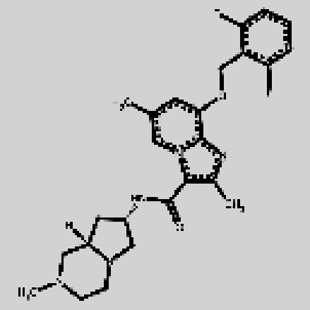 Cc1cc(OCc2c(F)cccc2F)c2nc(C)c(C(=O)N[C@H]3C[C@H]4CN(C)CCN4C3)n2c1